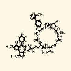 Cc1ncsc1-c1ccc([C@@H]2NC(=O)[C@@H]3C[C@@H](O)CN3C(=O)[C@H](C(C)(C)C)NC(=O)CSC[C@H](C(N)=O)NC(=O)[C@@H](CCNC(=O)C[C@@H]3N=C(c4ccc(Cl)cc4)c4c(sc(C)c4C)-n4c(C)nnc43)NC(=O)CNC2=O)cc1